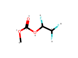 COC(=O)OC(F)C(F)F